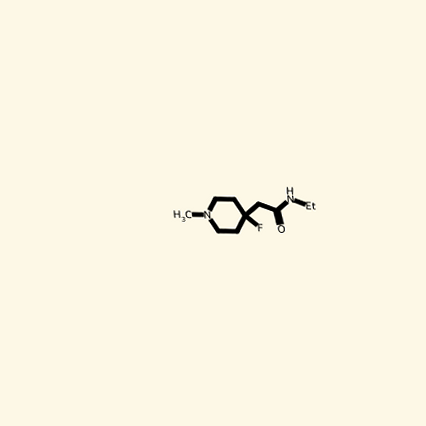 CCNC(=O)CC1(F)CCN(C)CC1